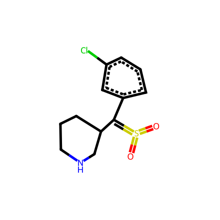 O=S(=O)=C(c1cccc(Cl)c1)C1CCCNC1